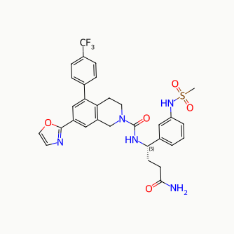 CS(=O)(=O)Nc1cccc([C@H](CCC(N)=O)NC(=O)N2CCc3c(cc(-c4ncco4)cc3-c3ccc(C(F)(F)F)cc3)C2)c1